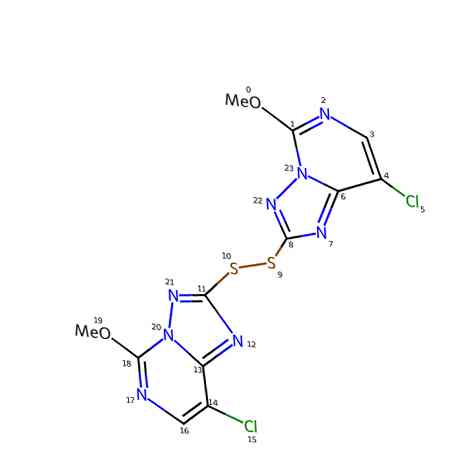 COc1ncc(Cl)c2nc(SSc3nc4c(Cl)cnc(OC)n4n3)nn12